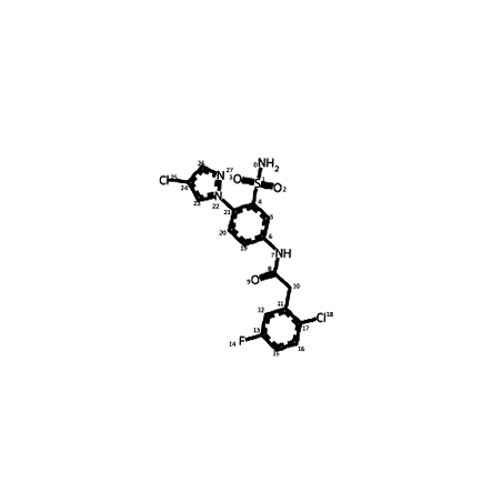 NS(=O)(=O)c1cc(NC(=O)Cc2cc(F)ccc2Cl)ccc1-n1cc(Cl)cn1